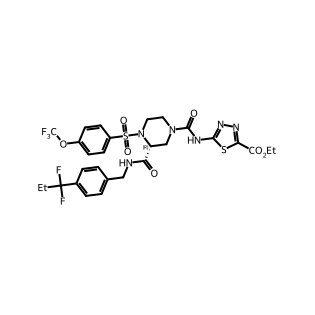 CCOC(=O)c1nnc(NC(=O)N2CCN(S(=O)(=O)c3ccc(OC(F)(F)F)cc3)[C@@H](C(=O)NCc3ccc(C(F)(F)CC)cc3)C2)s1